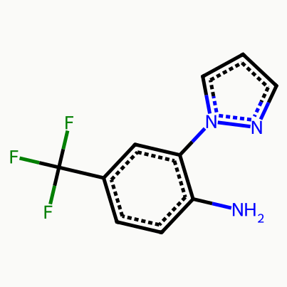 Nc1ccc(C(F)(F)F)cc1-n1cccn1